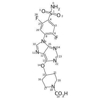 NS(=O)(=O)c1cc(F)c(-n2cnc3c(OC4CCN(C(=O)O)CC4)ncnc32)cc1F